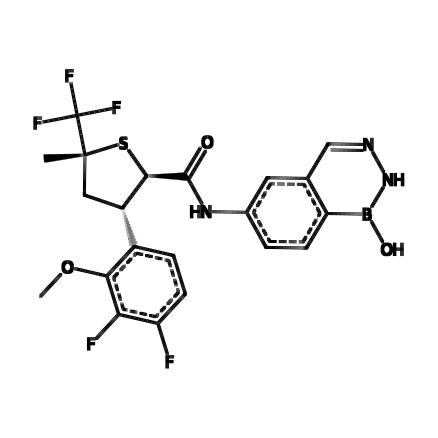 COc1c([C@@H]2C[C@](C)(C(F)(F)F)S[C@H]2C(=O)Nc2ccc3c(c2)C=NNB3O)ccc(F)c1F